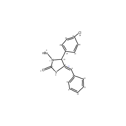 CCCCN1C(=O)S/C(=C\c2ccccc2)C1c1ccc(Cl)cc1